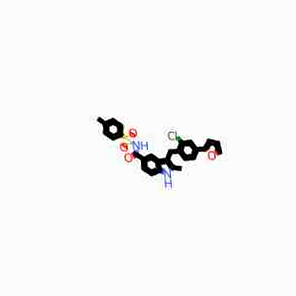 Cc1ccc(S(=O)(=O)NC(=O)c2ccc3[nH]c(C)c(Cc4ccc(-c5ccco5)cc4Cl)c3c2)cc1